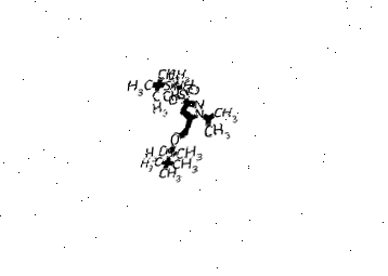 CC(C)n1nc(S(=O)(=O)N[Si](C)(C)C(C)(C)C)cc1CO[Si](C)(C)C(C)(C)C